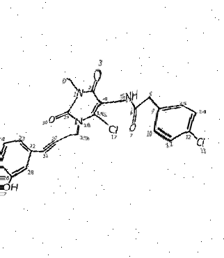 Cn1c(=O)c(NC(=O)Cc2ccc(Cl)cc2)c(Cl)n(CC#Cc2cccc(O)c2)c1=O